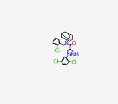 O=C(C1CNN(c2cc(Cl)ccc2Cl)C1)N(Cc1ccccc1Cl)C12CC3CC(CC(C3)C1)C2